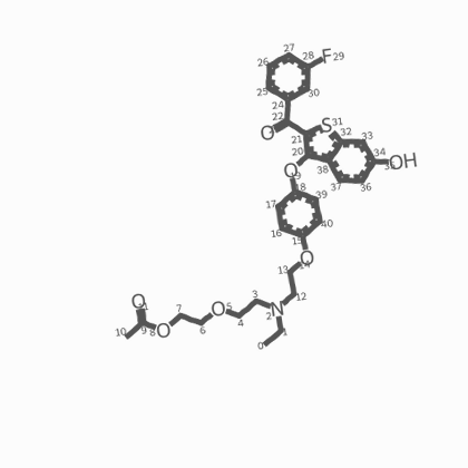 CCN(CCOCCOC(C)=O)CCOc1ccc(Oc2c(C(=O)c3cccc(F)c3)sc3cc(O)ccc23)cc1